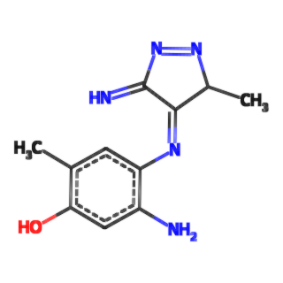 Cc1cc(N=C2C(=N)N=NC2C)c(N)cc1O